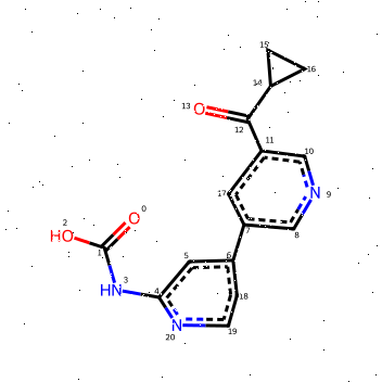 O=C(O)Nc1cc(-c2cncc(C(=O)C3CC3)c2)ccn1